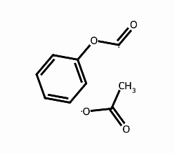 CC([O])=O.O=[C]Oc1ccccc1